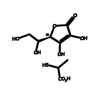 CC(S)C(=O)O.O=C1O[C@H](C(O)CO)C(O)=C1O